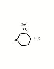 C1CCNCC1.[BH4-].[BH4-].[Zn+2]